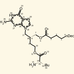 CCCCCCCCCCCCCC(=O)OC[C@H](CCOC(=O)[C@@H](N)[C@@H](C)CC)Cn1cnc2c(=O)[nH]c(N)nc21